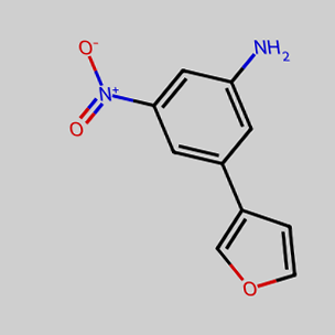 Nc1cc(-c2ccoc2)cc([N+](=O)[O-])c1